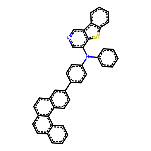 c1ccc(N(c2ccc(-c3ccc4c(ccc5ccc6ccccc6c54)c3)cc2)c2cncc3c2sc2ccccc23)cc1